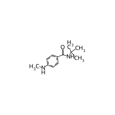 CNc1ccc(C(=O)NC(C)(C)C)cc1